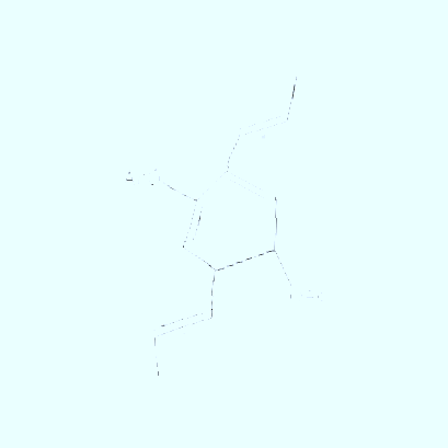 C/C=C/C1=CC(OC(C)=O)C(/C=C/C)C=C1OC(C)=O